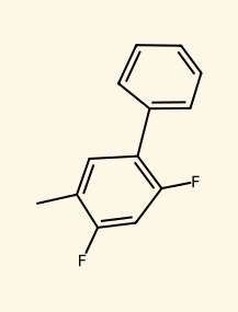 Cc1cc(-c2ccccc2)c(F)cc1F